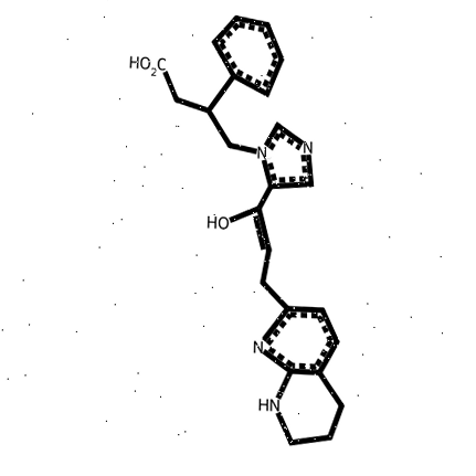 O=C(O)CC(Cn1cncc1/C(O)=C/Cc1ccc2c(n1)NCCC2)c1ccccc1